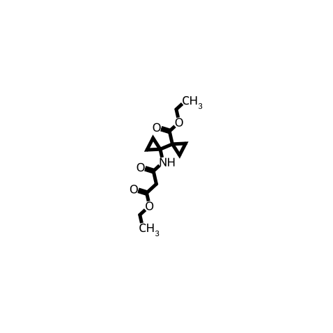 CCOC(=O)CC(=O)NC1(C2(C(=O)OCC)CC2)CC1